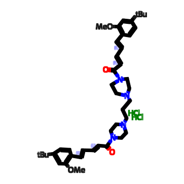 COc1cc(C(C)(C)C)ccc1/C=C/C=C/C(=O)N1CCN(CCCN2CCN(C(=O)/C=C/C=C/c3ccc(C(C)(C)C)cc3OC)CC2)CC1.Cl.Cl